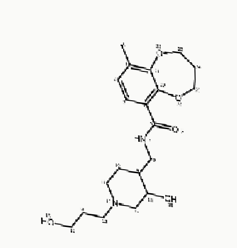 Cc1ccc(C(=O)NCC2CCN(CCCO)CC2O)c2c1OCCCO2